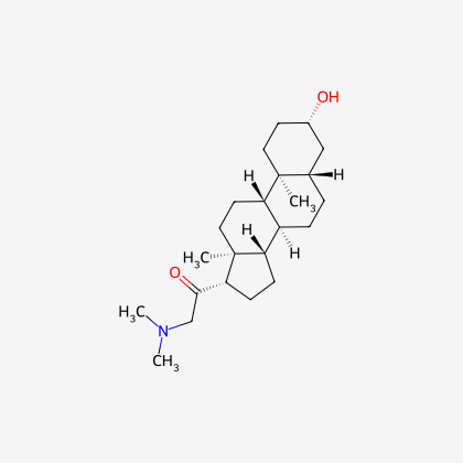 CN(C)CC(=O)[C@H]1CC[C@H]2[C@@H]3CC[C@H]4C[C@@H](O)CC[C@]4(C)[C@H]3CC[C@]12C